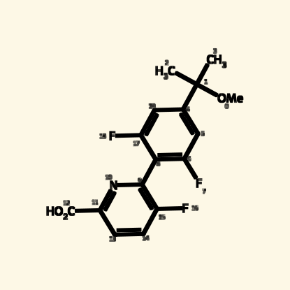 COC(C)(C)c1cc(F)c(-c2nc(C(=O)O)ccc2F)c(F)c1